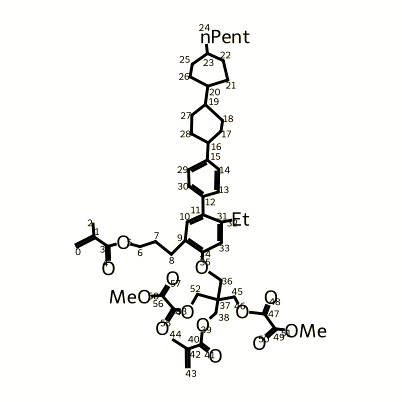 C=C(C)C(=O)OCCCc1cc(-c2ccc(C3CCC(C4CCC(CCCCC)CC4)CC3)cc2)c(CC)cc1OCC(COC(=O)C(=C)C)(COC(=O)C(=O)OC)COC(=O)C(=O)OC